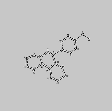 COc1ccc(-c2cc3cccnc3c3ncccc23)cc1